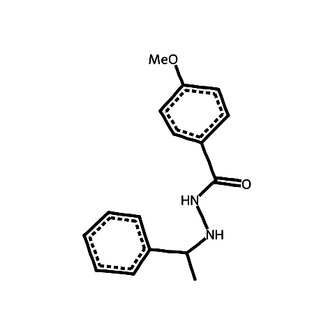 COc1ccc(C(=O)NNC(C)c2ccccc2)cc1